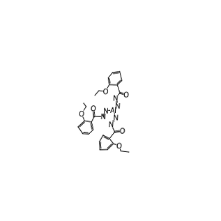 CCOc1ccccc1C(=O)N=[N][Al]([N]=NC(=O)c1ccccc1OCC)[N]=NC(=O)c1ccccc1OCC